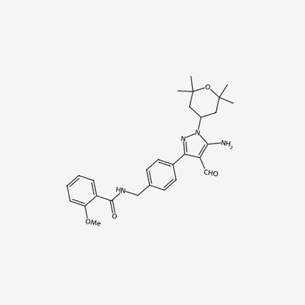 COc1ccccc1C(=O)NCc1ccc(-c2nn(C3CC(C)(C)OC(C)(C)C3)c(N)c2C=O)cc1